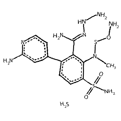 CN(SON)c1c(S(N)(=O)=O)ccc(-c2ccnc(N)c2)c1/C(N)=N/NN.S